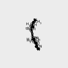 Cc1ncsc1-c1ccc([C@H](C)NC(=O)[C@@H]2CCCN2C(=O)[C@@H](NC(=O)COCCOCCOCCN2C(C)(C)CN(NC(=O)c3ccc(Oc4cccc(-c5ccnnc5)c4C#N)c(Cl)c3)CC2(C)C)C(C)(C)C)cc1